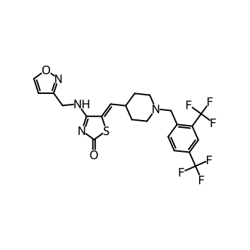 O=C1N=C(NCc2ccon2)/C(=C/C2CCN(Cc3ccc(C(F)(F)F)cc3C(F)(F)F)CC2)S1